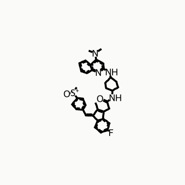 CC1=C(CC(=O)NC2CCC(Nc3cc(N(C)C)c4ccccc4n3)CC2)c2cc(F)ccc2C1=Cc1ccc([S+](C)[O-])cc1